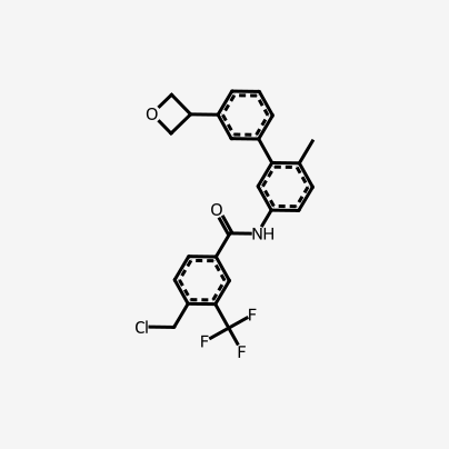 Cc1ccc(NC(=O)c2ccc(CCl)c(C(F)(F)F)c2)cc1-c1cccc(C2COC2)c1